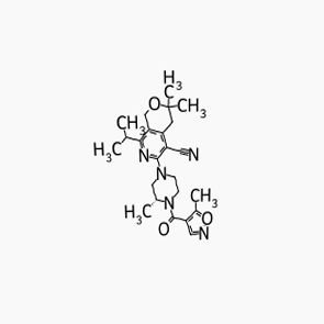 Cc1oncc1C(=O)N1CCN(c2nc(C(C)C)c3c(c2C#N)CC(C)(C)OC3)C[C@H]1C